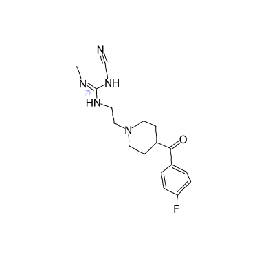 C/N=C(\NC#N)NCCN1CCC(C(=O)c2ccc(F)cc2)CC1